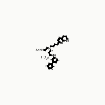 CC(=O)NCCN(CCCCc1ccc2c(n1)NCCC2)CCC(Nc1cc(-c2ccccc2)ccn1)C(=O)O